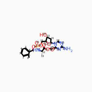 Cc1ccccc1CO[P@](=O)(N[C@@H](C)C(=O)OC(C)C)OCC1OC(n2cnc(N)nc2=O)CC1O